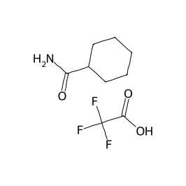 NC(=O)C1CCCCC1.O=C(O)C(F)(F)F